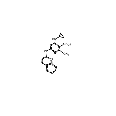 Cc1nc(Nc2ccc3cnccc3n2)cc(NC2CC2)c1C(=O)O